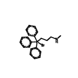 CNCCCP(Br)(c1ccccc1)(c1ccccc1)c1ccccc1